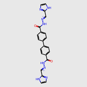 O=C(N/N=C/c1ncc[nH]1)c1ccc(-c2ccc(C(=O)N/N=C/c3ncc[nH]3)cc2)cc1